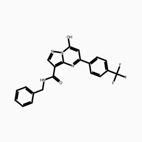 O=C(NCc1ccccc1)c1cnn2c(O)cc(-c3ccc(C(F)(F)F)cc3)nc12